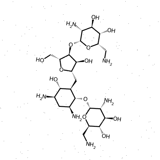 NC[C@@H]1O[C@H](O[C@H]2[C@@H](O)[C@H](C[C@@H]3[C@@H](O)[C@H](N)C[C@H](N)[C@H]3O[C@H]3O[C@H](CN)[C@@H](O)[C@H](O)[C@H]3N)O[C@@H]2CO)[C@H](N)[C@@H](O)[C@@H]1O